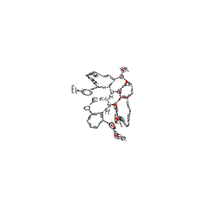 CCOc1cccc(OCC)c1[SiH](O[SiH](c1c(OCC)cccc1OCC)c1c(OCC)cccc1OCC)c1c(OCC)cccc1OCC